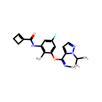 C/N=C(/Oc1cc(F)cc(NC(=O)C2=CCC2)c1C)c1ccnn1C(C)C